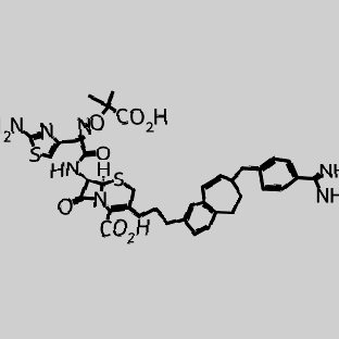 CC(C)(O/N=C(\C(=O)N[C@@H]1C(=O)N2C(C(=O)O)=C(CCCc3ccc4c(c3)C=CC(Cc3ccc(C(=N)N)cc3)CC4)CS[C@H]12)c1csc(N)n1)C(=O)O